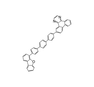 c1ccc2c(c1)oc1c(-c3ccc(-c4ccc(-c5ccc(-c6ccc7c8ccccc8c8nccnc8c7c6)cc5)cc4)cc3)cccc12